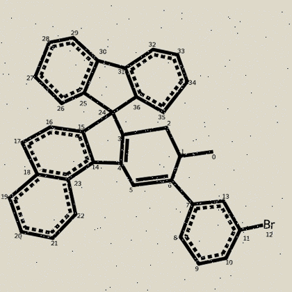 CC1CC2=C(C=C1c1cccc(Br)c1)c1c(ccc3ccccc13)C21c2ccccc2-c2ccccc21